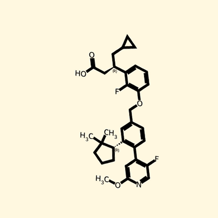 COc1cc(-c2ccc(COc3cccc([C@@H](CC(=O)O)CC4CC4)c3F)cc2[C@@H]2CCCC2(C)C)c(F)cn1